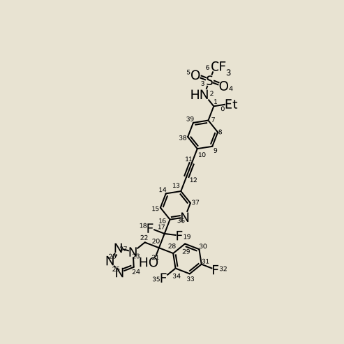 CCC(NS(=O)(=O)C(F)(F)F)c1ccc(C#Cc2ccc(C(F)(F)C(O)(Cn3cnnn3)c3ccc(F)cc3F)nc2)cc1